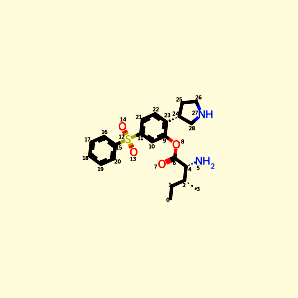 CC[C@@H](C)[C@@H](N)C(=O)Oc1cc(S(=O)(=O)c2ccccc2)ccc1[C@@H]1CCNC1